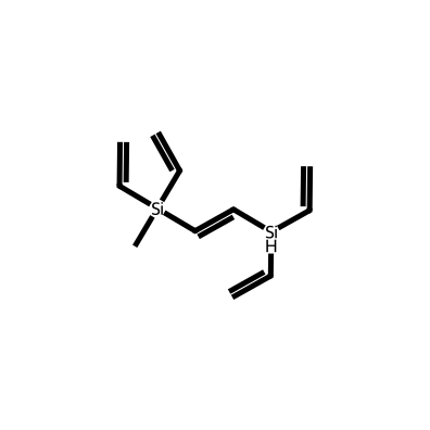 C=C[SiH](C=C)C=C[Si](C)(C=C)C=C